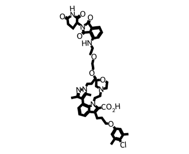 Cc1cc(OCCCc2c(C(=O)O)n(CCN3CCOCC3)c3c(-c4c(C)nn(CCCOCCOCCNc5cccc6c5C(=O)N(C5CCC(=O)NC5=O)C6=O)c4C)cccc23)cc(C)c1Cl